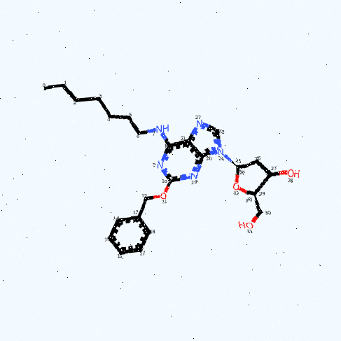 CCCCCCCNc1nc(OCc2ccccc2)nc2c1ncn2[C@H]1CC(O)[C@@H](CO)O1